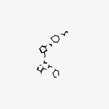 C=CC(=O)N[C@H]1CC[C@@H](C(=O)Nc2cccc(CNc3nc(OC4CCNCC4)nc4c(C(C)C)cnn34)c2)CC1